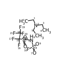 CCN(CC)CC.O=S(=O)(F)NS(=O)(=O)C(F)(F)C(F)(F)F